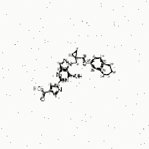 O=C(O)c1cnn(-c2nc(O)c3c(cnn3CC3(COc4ccc5c(c4)CCCC5)CC3)n2)c1